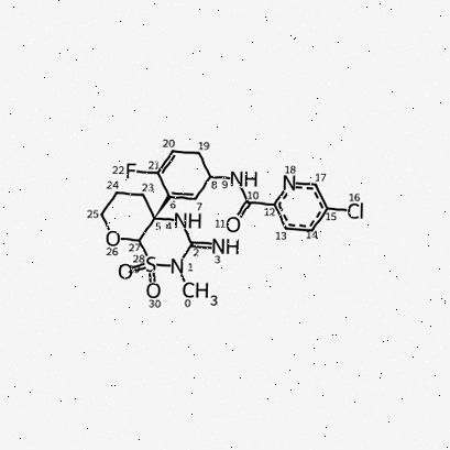 CN1C(=N)N[C@@]2(C3=CC(NC(=O)c4ccc(Cl)cn4)CC=C3F)CCCOC2S1(=O)=O